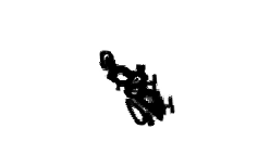 C=C1C[C@@H]2[C@H](CC[C@@]3(C)[C@H]2C[C@H]2C[C@]23C(C)=O)[C@@]2(C)CCC(=O)C=C12